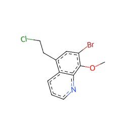 COc1c(Br)cc(CCCl)c2cccnc12